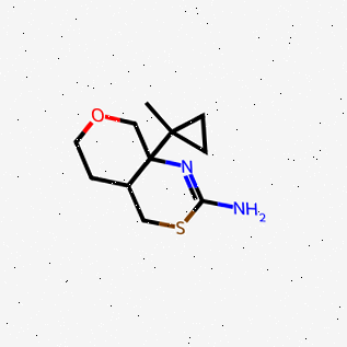 CC1(C23COCCC2CSC(N)=N3)CC1